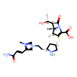 C[C@@H](O)[C@H]1C(=O)N2C(C(=O)O)=C(S[C@@H]3CN[C@H](CC[n+]4cc(C=CC(N)=O)n(C)c4)C3)[C@H](C)[C@H]12.[Cl-]